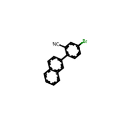 N#Cc1cc(Br)ccc1-c1ccc2ccccc2c1